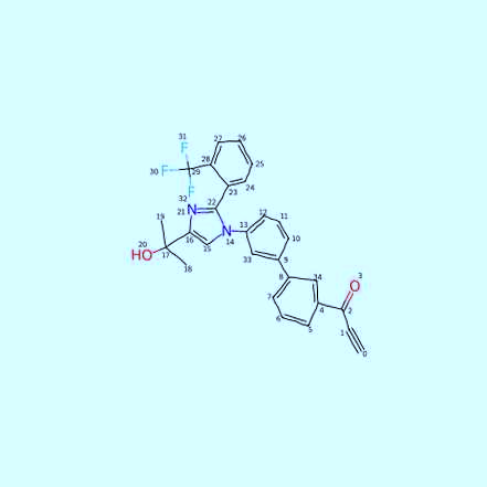 C#CC(=O)c1cccc(-c2cccc(-n3cc(C(C)(C)O)nc3-c3ccccc3C(F)(F)F)c2)c1